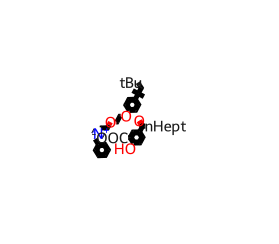 CC(C)(C)CC(C)(C)c1ccc(OCCOCC[N+](C)(C)Cc2ccccc2)cc1.CCCCCCCC(=O)c1ccc(O)c(C(=O)[O-])c1